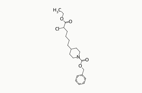 CCOC(=O)C(Cl)CCCCC1CCN(C(=O)OCc2ccccc2)CC1